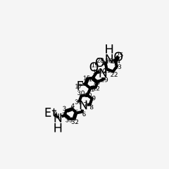 CCNc1ccc(CN2CCC(c3cc4c(cc3F)C(=O)N(C3CCC(=O)NC3=O)C4)CC2)cc1